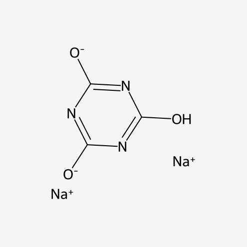 [Na+].[Na+].[O-]c1nc([O-])nc(O)n1